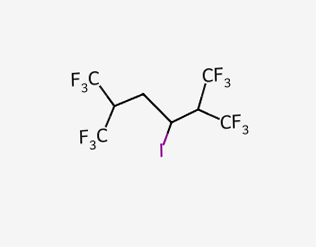 FC(F)(F)C(CC(I)C(C(F)(F)F)C(F)(F)F)C(F)(F)F